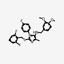 COc1ccc(CNc2c(C)nc(SCc3c(F)cccc3F)n2-c2ccc(F)cc2)cc1OC